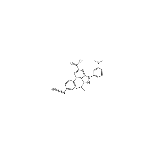 CC(C)c1nn(-c2cccc(N(C)C)c2)c2nc(C(=O)[O-])cc(-c3ccc(N=[N+]=N)cc3)c12